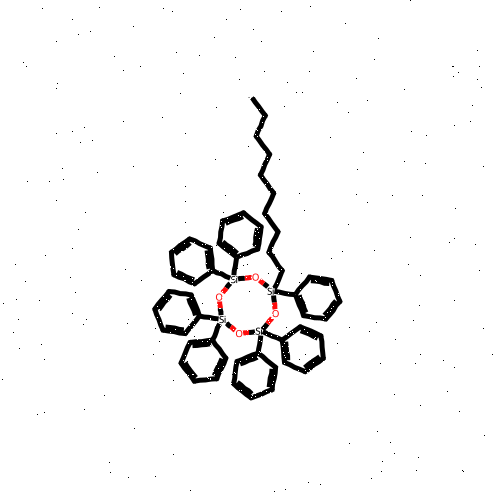 [CH2]CCCCCCCCC[Si]1(c2ccccc2)O[Si](c2ccccc2)(c2ccccc2)O[Si](c2ccccc2)(c2ccccc2)O[Si](c2ccccc2)(c2ccccc2)O1